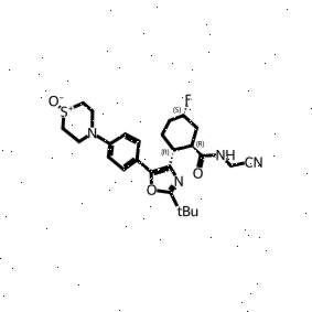 CC(C)(C)c1nc([C@@H]2CC[C@H](F)C[C@H]2C(=O)NCC#N)c(-c2ccc(N3CC[S+]([O-])CC3)cc2)o1